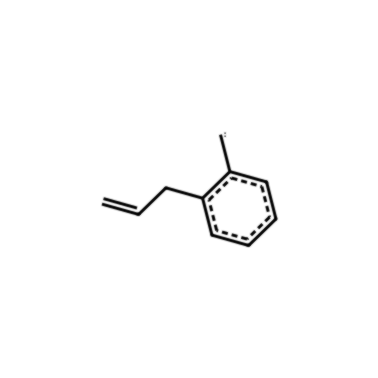 [CH]c1ccccc1CC=C